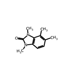 Cc1ccc2c(c1C)n(C)c(=O)n2C